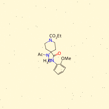 CCOC(=O)N1CCC(C(=O)Nc2ccccc2OC)(N(C)C(C)=O)CC1